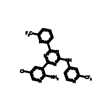 Nc1ncc(Cl)cc1-c1nc(Nc2ccnc(C(F)(F)F)c2)nc(-c2cccc(C(F)(F)F)n2)n1